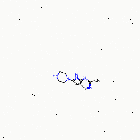 N#Cc1ncc2cc(N3CCNCC3)[nH]c2n1